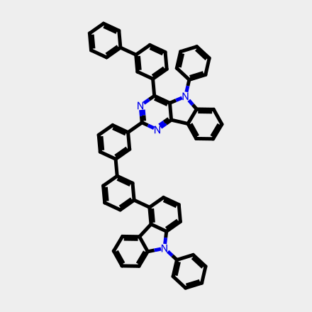 c1ccc(-c2cccc(-c3nc(-c4cccc(-c5cccc(-c6cccc7c6c6ccccc6n7-c6ccccc6)c5)c4)nc4c5ccccc5n(-c5ccccc5)c34)c2)cc1